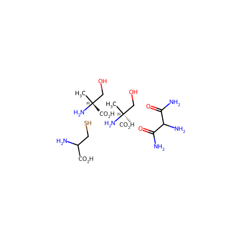 C[C@@](N)(CO)C(=O)O.C[C@](N)(CO)C(=O)O.NC(=O)C(N)C(N)=O.NC(CS)C(=O)O